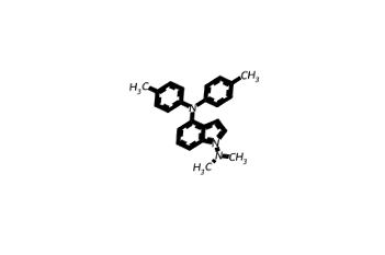 Cc1ccc(N(c2ccc(C)cc2)c2cccc3c2ccn3N(C)C)cc1